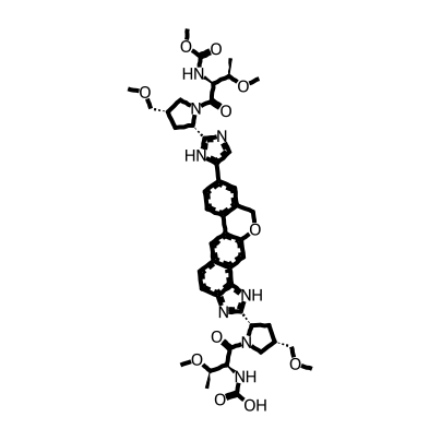 COC[C@H]1C[C@@H](c2ncc(-c3ccc4c(c3)COc3cc5c(ccc6nc([C@@H]7C[C@H](COC)CN7C(=O)[C@@H](NC(=O)O)[C@@H](C)OC)[nH]c65)cc3-4)[nH]2)N(C(=O)[C@@H](NC(=O)OC)[C@@H](C)OC)C1